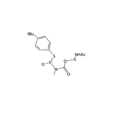 CC(=O)NSOC(=O)N(C)[S+]([O-])Sc1ccc(C(C)(C)C)cc1